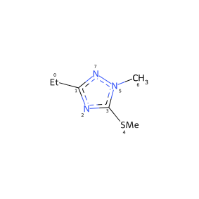 CCc1nc(SC)n(C)n1